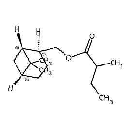 CCC(C)C(=O)OC[C@H]1CC[C@@H]2C[C@H]1C2(C)C